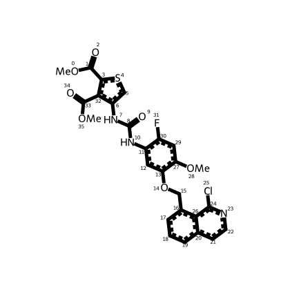 COC(=O)c1scc(NC(=O)Nc2cc(OCc3cccc4ccnc(Cl)c34)c(OC)cc2F)c1C(=O)OC